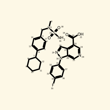 CN(Cc1ccc(C2CCCCC2)cc1)S(N)(=O)=O.O=C(O)c1cncc2c1cnn2-c1ccc(F)cc1